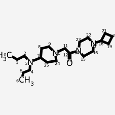 CCCN(CCC)C1CCN(CC(=O)N2CCN(C3CCC3)CC2)CC1